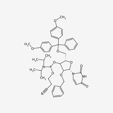 COc1ccc(C(OC[C@@H]2O[C@H](n3ccc(=O)[nH]c3=O)C(OCc3ccccc3)C2OP(OCCC#N)N(C(C)C)C(C)C)(c2ccccc2)c2ccc(OC)cc2)cc1